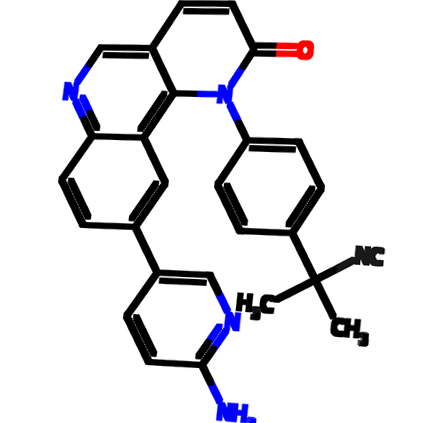 [C-]#[N+]C(C)(C)c1ccc(-n2c(=O)ccc3cnc4ccc(-c5ccc(N)nc5)cc4c32)cc1